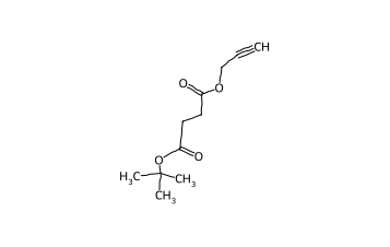 C#CCOC(=O)CCC(=O)OC(C)(C)C